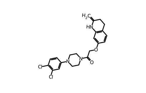 C=C1CCc2ccc(OCC(=O)N3CCN(c4ccc(Cl)c(Cl)c4)CC3)cc2N1